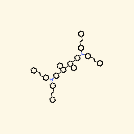 C(=Cc1ccc(N(c2ccc(C=Cc3ccccc3)cc2)c2ccc(-c3ccc(-c4ccc(-c5ccc(N(c6ccc(C=Cc7ccccc7)cc6)c6ccc(C=Cc7ccccc7)cc6)cc5)c5ccccc45)c4ccccc34)cc2)cc1)c1ccccc1